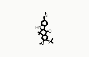 C/N=C/c1ccc2c3c([nH]c2c1)C(C)(C)c1cc(OC)c(SC(C)C)cc1C3=O